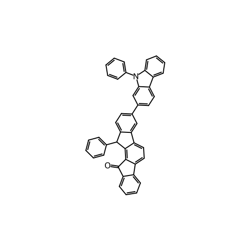 O=C1c2ccccc2-c2ccc3c(c21)C(c1ccccc1)c1ccc(-c2ccc4c5ccccc5n(-c5ccccc5)c4c2)cc1-3